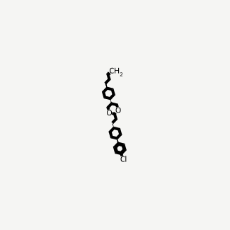 C=CCC[C@H]1CC[C@H](C2COC(CC[C@H]3CC[C@H](c4ccc(Cl)cc4)CC3)OC2)CC1